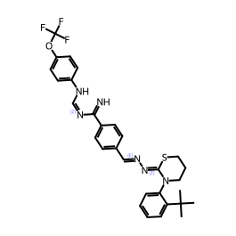 CC(C)(C)c1ccccc1N1CCCS/C1=N\N=C\c1ccc(C(=N)/N=C\Nc2ccc(OC(F)(F)F)cc2)cc1